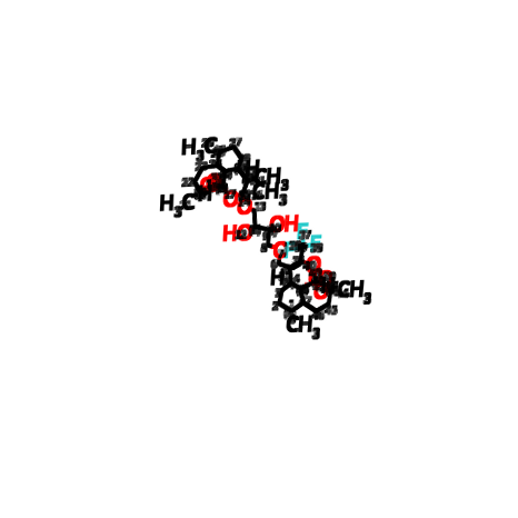 C[C@@H]1CC[C@H]2C(COC[C@@H](O)[C@H](O)CO[C@@]3(C)O[C@@H]4O[C@]5(C)CCC6[C@H](C)CC[C@@H]([C@H]3C)[C@]64OO5)=C(C(F)(F)F)O[C@@H]3O[C@]4(C)CCC1[C@]32OO4